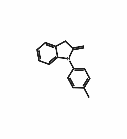 C=C1Cc2ccccc2N1c1ccc(C)cc1